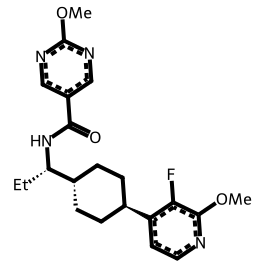 CC[C@H](NC(=O)c1cnc(OC)nc1)[C@H]1CC[C@H](c2ccnc(OC)c2F)CC1